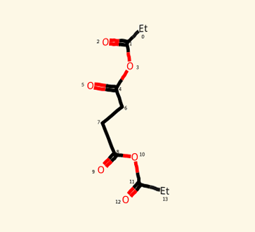 CCC(=O)OC(=O)CCC(=O)OC(=O)CC